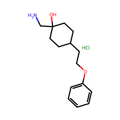 Cl.NCC1(O)CCC(CCOc2ccccc2)CC1